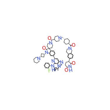 CC(C)n1cnc2cc(-c3ccc4c(c3)N([C@H]3C[C@@H](N5CCCCC5)C3)C(=O)C43CCN(C(=O)C4CCN(C[C@H]5CC[C@H](C(=O)N6CCc7cc(C8CCC(=O)NC8=O)ccc7C6)CC5)CC4)CC3)nc(Nc3ccccc3F)c21